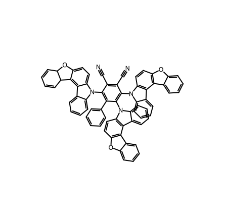 N#Cc1c(C#N)c(-n2c3ccccc3c3c4c(ccc32)oc2ccccc24)c(-n2c3ccccc3c3c4c(ccc32)oc2ccccc24)c(-c2ccccc2)c1-n1c2ccccc2c2c3c(ccc21)OC1C=CC=CC31